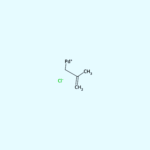 C=C(C)[CH2][Pd+].[Cl-]